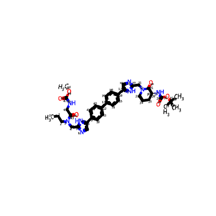 CCCN(Cc1ncc(-c2ccc(-c3ccc(-c4cnc(CN5CCC[C@@H](NC(=O)OC(C)(C)C)C5=O)[nH]4)cc3)cc2)[nH]1)C(=O)CNC(=O)OC